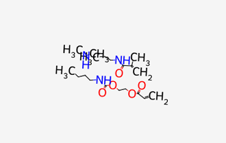 C=C(C)C(=O)NCCC.C=CC(=O)OCCOC(=O)NCCCC.CNC